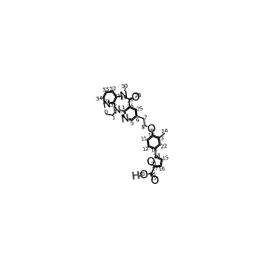 CCN1c2ncc(CCOc3ccc(-c4ccc(C(=O)O)o4)cc3C)cc2C(=O)N(C)c2cccnc21